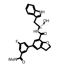 CNC(=O)c1cc(F)cc(-c2cc3c(c(C(=O)N[C@@H](CO)Cc4c[nH]c5ccccc45)c2)OCC3)c1